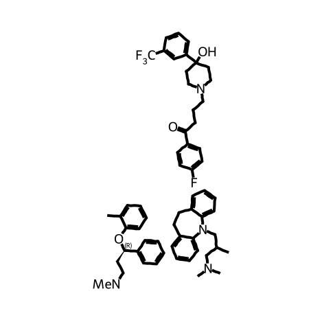 CC(CN(C)C)CN1c2ccccc2CCc2ccccc21.CNCC[C@@H](Oc1ccccc1C)c1ccccc1.O=C(CCCN1CCC(O)(c2cccc(C(F)(F)F)c2)CC1)c1ccc(F)cc1